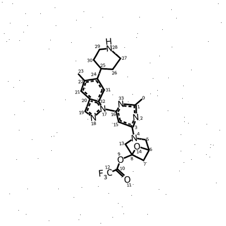 Cc1nc(N2CC3CC(OC(=O)C(F)(F)F)(C2)O3)cc(-n2ncc3cc(C)c(C4CCNCC4)cc32)n1